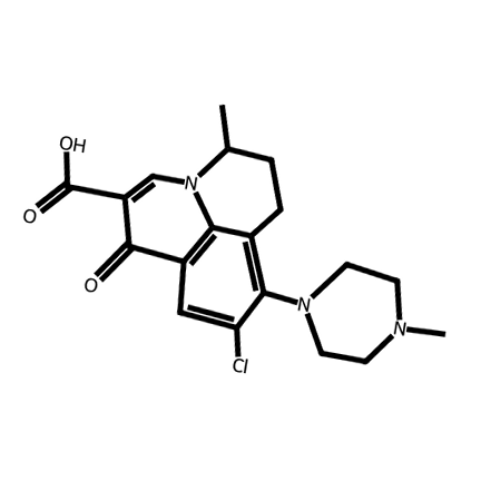 CC1CCc2c(N3CCN(C)CC3)c(Cl)cc3c(=O)c(C(=O)O)cn1c23